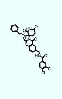 Cc1nc2ccc(CNC(=O)c3ccc(Cl)c(Cl)c3)cc2c(=O)n1C1(C(=O)OCc2ccccc2)CCC(=O)NC1=O